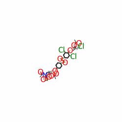 CC(=O)O[C@H](CCl)COc1c(Cl)cc(S(=O)(=O)c2ccc(OC[C@@H](CN(C(C)=O)S(C)(=O)=O)OC(C)=O)cc2)cc1Cl